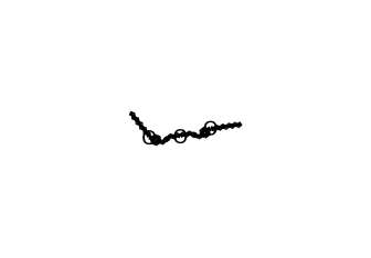 CCCCCCCCCCOc1ccc(CC#CCCCOCCCC#CCc2ccc(OCCCCCCCCCC)cc2)cc1